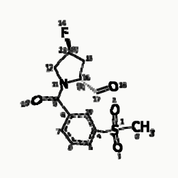 CS(=O)(=O)c1cccc(C(=O)N2C[C@@H](F)C[C@@H]2C=O)c1